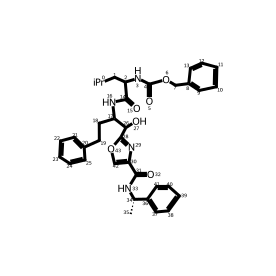 CC(C)CC(NC(=O)OCc1ccccc1)C(=O)NC(CCc1ccccc1)C(O)c1nc(C(=O)N[C@@H](C)c2ccccc2)co1